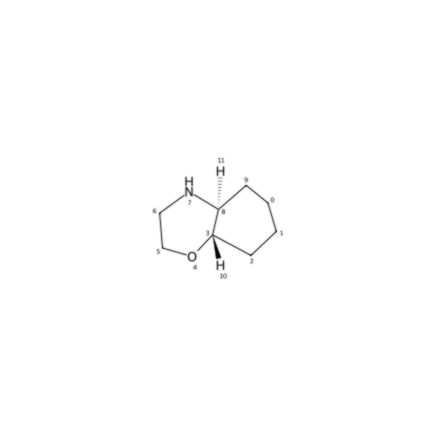 C1CC[C@@H]2OCCN[C@H]2C1